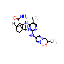 C[C@@H](O)Cn1cc(Nc2ncc(C(F)(F)F)c(N[C@H]3[C@@H]4CC[C@@H](C4)[C@H]3C(N)=O)n2)cn1